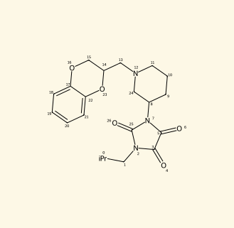 CC(C)CN1C(=O)C(=O)N(C2CCCN(CC3COc4ccccc4O3)C2)C1=O